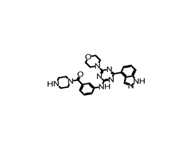 O=C(c1cccc(Nc2nc(-c3cccc4[nH]ncc34)nc(N3CCOCC3)n2)c1)N1CCNCC1